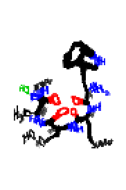 CCCNC(=O)[C@@H](C)NC(=O)[C@H](CC(=O)O)NC(=O)[C@H](CCSC)NC(=O)[C@@H](N)Cc1c[nH]c2ccccc12.Cl